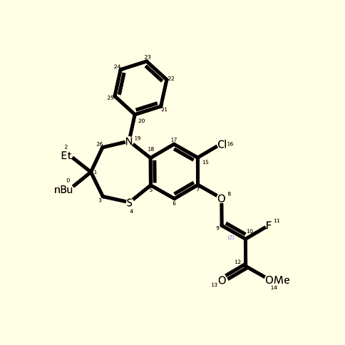 CCCCC1(CC)CSc2cc(O/C=C(\F)C(=O)OC)c(Cl)cc2N(c2ccccc2)C1